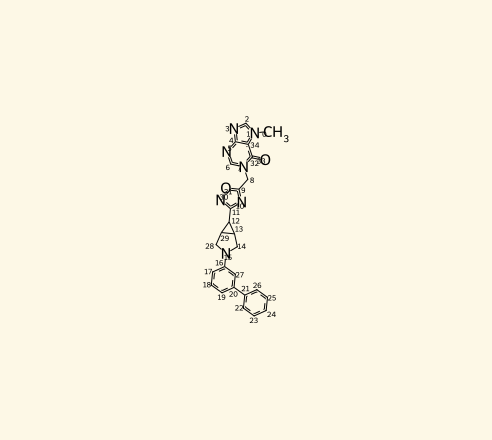 Cn1cnc2ncn(Cc3nc(C4C5CN(c6cccc(-c7ccccc7)c6)CC54)no3)c(=O)c21